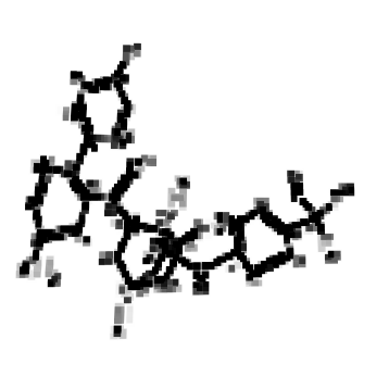 Cc1cnc(-c2ncc(F)cn2)c(C(=O)N2C[C@@H]3CC[C@H]2[C@H](Oc2ccc(C(F)(F)F)cn2)C3)c1